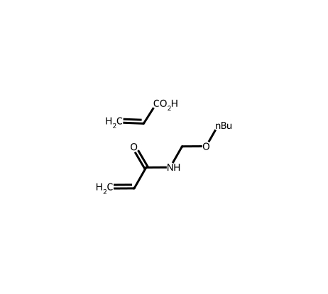 C=CC(=O)NCOCCCC.C=CC(=O)O